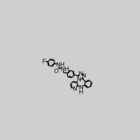 O=C(NCc1ccc(-c2nnc3n2-c2cccnc2Nc2ccccc2-3)cc1)Nc1ccc(F)cc1